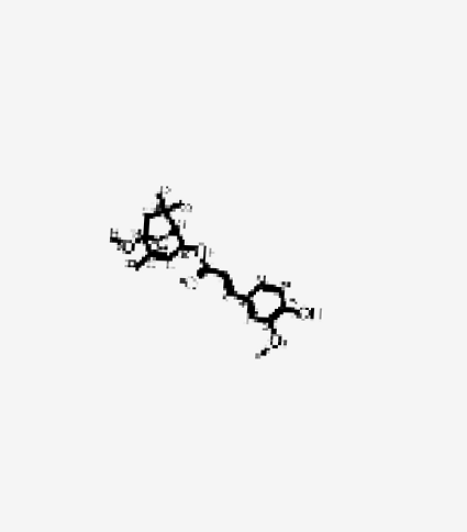 COc1cc(C=CC(=O)OC2C=C(C)C3(OC)CC(C)(C)C2O3)ccc1O